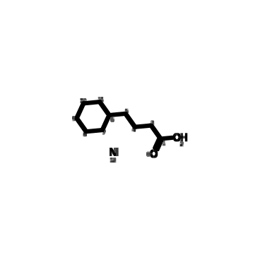 O=C(O)CCCC1CCCCC1.[Ni]